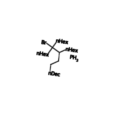 CCCCCCCCCCCCC(CCCCCC)C(Br)(CCCCCC)CCCCCC.P